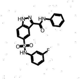 O=C(Nc1ccccc1)c1n[nH]c2ccc(S(=O)(=O)Nc3cccc(F)c3)cc12